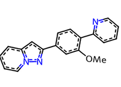 COc1cc(-c2cc3ccccn3n2)ccc1-c1ccccn1